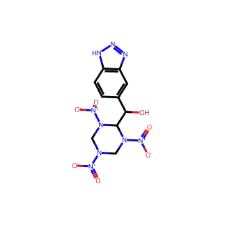 O=[N+]([O-])N1CN([N+](=O)[O-])C(C(O)c2ccc3[nH]nnc3c2)N([N+](=O)[O-])C1